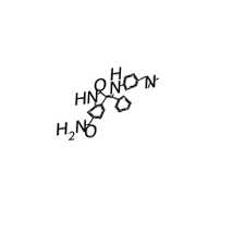 CN(C)Cc1ccc(N/C(=C2\C(=O)Nc3cc(C(N)=O)ccc32)c2ccccc2)cc1